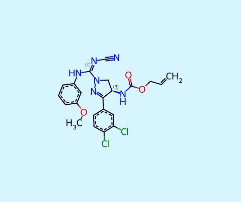 C=CCOC(=O)N[C@@H]1CN(/C(=N\C#N)Nc2cccc(OC)c2)N=C1c1ccc(Cl)c(Cl)c1